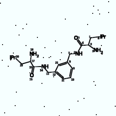 CC(C)CC(N)C(=O)NCc1cccc(CNC(=O)C(N)CC(C)C)c1